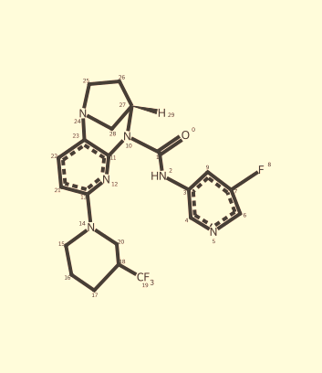 O=C(Nc1cncc(F)c1)N1c2nc(N3CCCC(C(F)(F)F)C3)ccc2N2CC[C@H]1C2